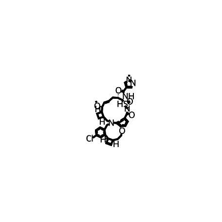 CO[C@H]1/C=C/C[C@H](C)C(NC(=O)c2cnn(C)c2)/[SH](=O)=N\C(=O)c2ccc3c(c2)N(Cc2ccc(Cl)cc2[C@H]2C=C[C@H]2CCO3)C[C@@H]2CC[C@H]21